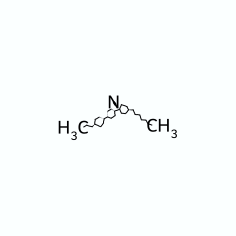 CCCCCCC[C@H]1CC[C@@](C#N)([C@H]2CC[C@@H]([C@H]3CC[C@H](CCC)CC3)CC2)CC1